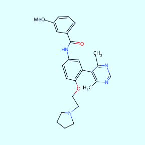 COc1cccc(C(=O)Nc2ccc(OCCN3CCCC3)c(-c3c(C)ncnc3C)c2)c1